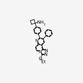 CCOc1nnc2c3cc(-c4ccccc4)c(-c4ccc(C5(N)CCC5)cc4)nc3ccn12